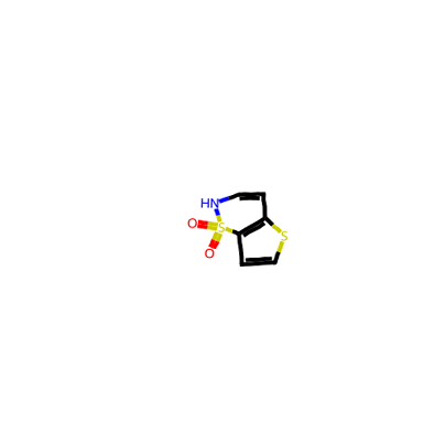 O=S1(=O)NC=Cc2sccc21